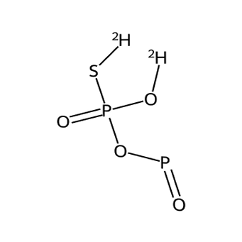 [2H]OP(=O)(OP=O)S[2H]